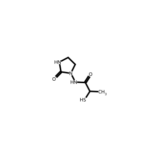 CC(S)C(=O)NN1CCNC1=O